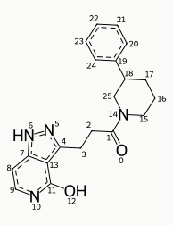 O=C(CCc1n[nH]c2ccnc(O)c12)N1CCCC(c2ccccc2)C1